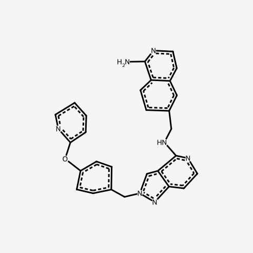 Nc1nccc2cc(CNc3nccc4nn(Cc5ccc(Oc6ccccn6)cc5)cc34)ccc12